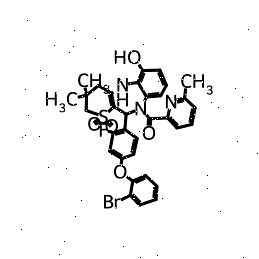 Cc1cccc(C(=O)N2c3cccc(O)c3NC3=C(C2c2ccc(Oc4ccccc4Br)cc2F)S(=O)(=O)CC(C)(C)C3)n1